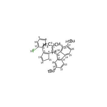 C[C](C)=[Hf]([C]1=C(c2ccccc2F)C=CC1)[CH]1c2cc(C(C)(C)C)ccc2-c2ccc(C(C)(C)C)cc21